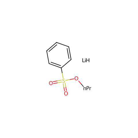 CCCOS(=O)(=O)c1ccccc1.[LiH]